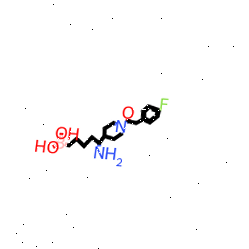 NC(CCCCB(O)O)C1CCN(C(=O)Cc2ccc(F)cc2)CC1